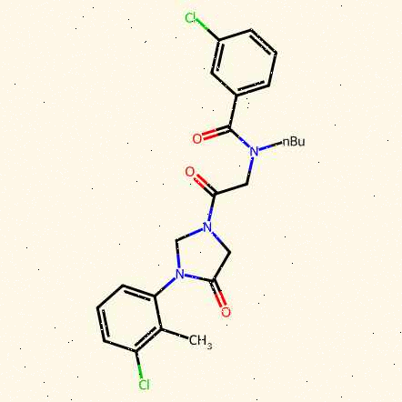 CCCCN(CC(=O)N1CC(=O)N(c2cccc(Cl)c2C)C1)C(=O)c1cccc(Cl)c1